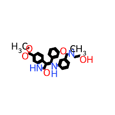 COC(=O)c1ccc2c(c1)NC(=O)/C2=C(\Nc1cccc(C(=O)N(C)CCO)c1)c1ccccc1